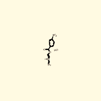 CC(C)CNCCOC(=O)c1ccc(N)cc1.Cl